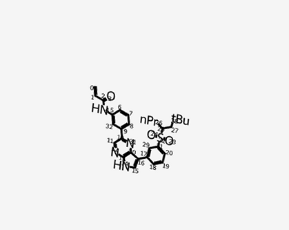 C=CC(=O)Nc1cccc(-c2cnc3[nH]cc(-c4cccc(S(=O)(=O)C(CCC)CC(C)(C)C)c4)c3n2)c1